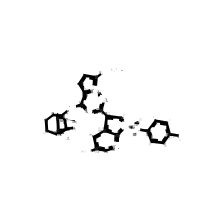 COc1ccc2c(N[C@H]3C4CCC(CC4)[C@@H]3C(=O)O)nc(-c3cn(S(=O)(=O)c4ccc(C)cc4)c4ncc(F)cc34)nn12